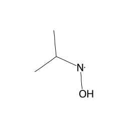 CC(C)[N]O